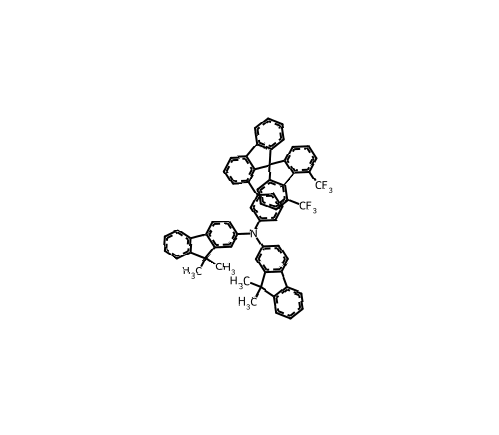 CC1(C)c2ccccc2-c2ccc(N(c3cccc(-c4cccc5c4C4(c6ccccc6-5)c5cccc(C(F)(F)F)c5-c5c(C(F)(F)F)cccc54)c3)c3ccc4c(c3)C(C)(C)c3ccccc3-4)cc21